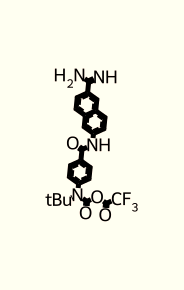 CC(C)(C)N(C(=O)OC(=O)C(F)(F)F)c1ccc(C(=O)Nc2ccc3cc(C(=N)N)ccc3c2)cc1